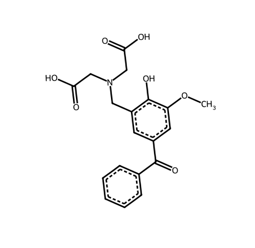 COc1cc(C(=O)c2ccccc2)cc(CN(CC(=O)O)CC(=O)O)c1O